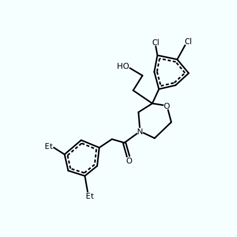 CCc1cc(CC)cc(CC(=O)N2CCOC(CCO)(c3ccc(Cl)c(Cl)c3)C2)c1